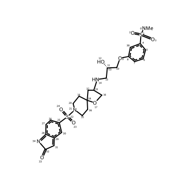 CNS(=O)(=O)c1cccc(OC[C@@H](O)CNC2COC3(CCN(S(=O)(=O)c4ccc5c(c4)=CC(=O)N=5)CC3)C2)c1